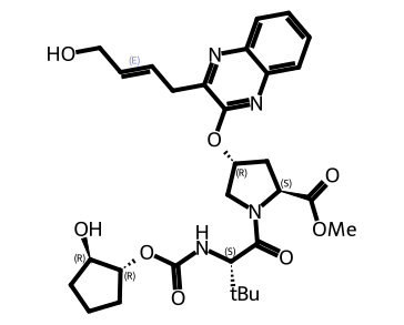 COC(=O)[C@@H]1C[C@@H](Oc2nc3ccccc3nc2C/C=C/CO)CN1C(=O)[C@@H](NC(=O)O[C@@H]1CCC[C@H]1O)C(C)(C)C